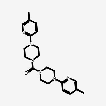 Cc1ccc(N2CCN(C(=O)N3CCN(c4ccc(C)cn4)CC3)CC2)nc1